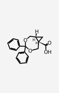 O=C(O)[C@@]12COC(c3ccccc3)(c3ccccc3)OC[C@@H]1C2